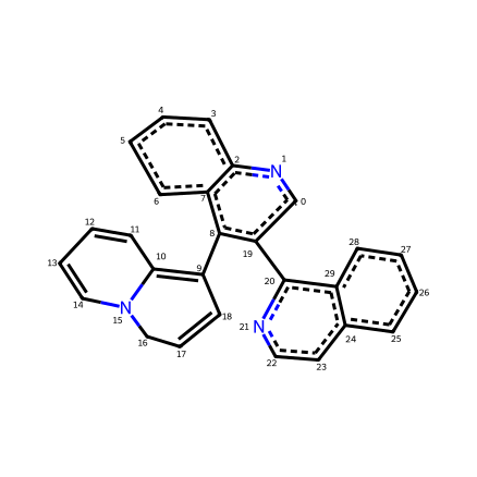 [c]1nc2ccccc2c(C2=C3C=CC=CN3CC=C2)c1-c1nccc2ccccc12